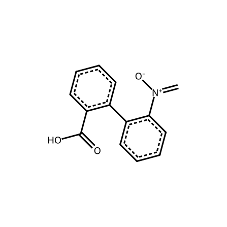 C=[N+]([O-])c1ccccc1-c1ccccc1C(=O)O